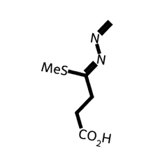 C=N/N=C(/CCC(=O)O)SC